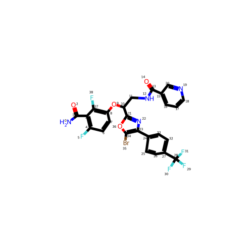 NC(=O)c1c(F)ccc(OC(CNC(=O)c2cccnc2)c2nc(-c3ccc(C(F)(F)F)cc3)c(Br)o2)c1F